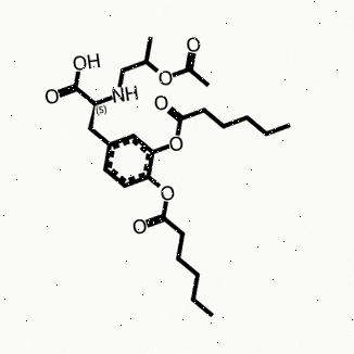 CCCCCC(=O)Oc1ccc(C[C@H](NCC(C)OC(C)=O)C(=O)O)cc1OC(=O)CCCCC